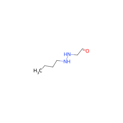 CCCCNNCC=O